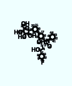 O=C1[C@H](CC[C@H](O)c2ccc(F)cc2)[C@@H](c2ccc(-c3cccc([C@@H]4O[C@H](CO)[C@@H](O)[C@H](O)[C@H]4O)c3)cc2O)N1c1ccccc1